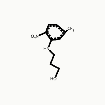 O=[N+]([O-])c1ccc(C(F)(F)F)cc1NCCCO